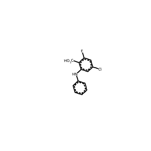 O=C(O)c1c(F)cc(Cl)cc1Nc1ccccc1